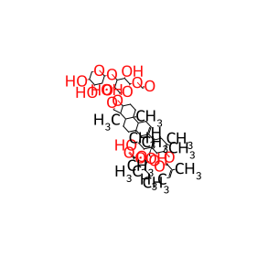 C/C=C(/C)C(=O)O[C@H]1[C@H](OC(=O)C(C)CC)[C@]2(CO)[C@H](OC(C)=O)[C@H](O)[C@]3(C)C(=CCC4[C@@]5(C)CCC(OC6OC(OC=O)C(O)C(OC7OCC(O)C(O)C7O)C6O)[C@@](C)(C=O)C5CC[C@]43C)[C@@H]2CC1(C)C